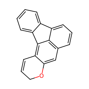 C1=Cc2c(cc3cccc4c3c2-c2ccccc2-4)OC1